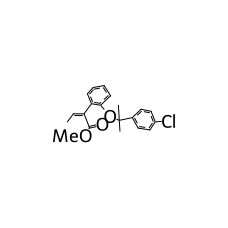 CC=C(C(=O)OC)c1ccccc1OC(C)(C)c1ccc(Cl)cc1